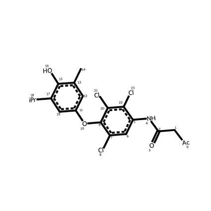 CC(=O)CC(=O)Nc1cc(Cl)c(Oc2cc(C)c(O)c(C(C)C)c2)c(Cl)c1Cl